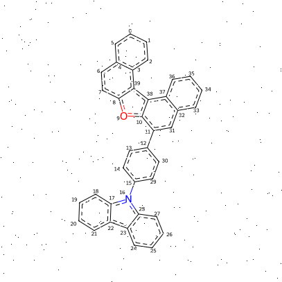 c1ccc2c(c1)ccc1oc3c(-c4ccc(-n5c6ccccc6c6ccccc65)cc4)cc4ccccc4c3c12